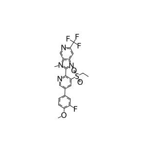 CCS(=O)(=O)c1cc(-c2ccc(OC)c(F)c2)cnc1-c1nc2cc(C(F)(F)F)ncc2n1C